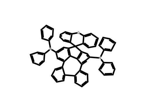 c1ccc(N(c2ccccc2)c2cc3c4c(c2)C2(c5ccccc5Oc5ccccc52)c2cc(N(c5ccccc5)c5ccccc5)cc(c2-4)-c2ccccc2-c2ccccc2-3)cc1